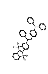 CCC1(CC)C2=C(c3ccccc31)C(CC)(CC)c1cc(/C(=C/c3ccc(N(c4ccccc4)c4ccccc4)cc3)c3ccccc3)ccc12